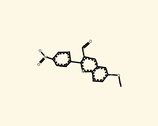 COc1ccc2nc(-c3ccc([N+](=O)[O-])cc3)c(C=O)cc2c1